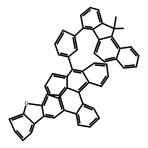 CC1(C)c2cccc(-c3cccc(-c4c5ccccc5c(-c5ccccc5-c5ccc6oc7ccccc7c6c5)c5ccccc45)c3)c2-c2ccc3ccccc3c21